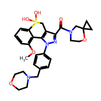 COc1cccc2c1-c1c(c(C(=O)N3CCOC4(CC4)C3)nn1-c1ccc(CN3CCOCC3)cc1)CS2(O)O